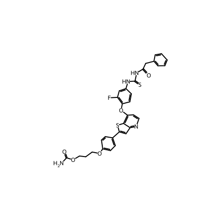 NC(=O)OCCCOc1ccc(-c2cc3nccc(Oc4ccc(NC(=S)NC(=O)Cc5ccccc5)cc4F)c3s2)cc1